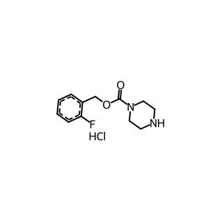 Cl.O=C(OCc1ccccc1F)N1CCNCC1